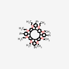 C=CCOc1cc(OC=C)c2cc1C(c1ccc(C(C)C)cc1)c1cc(c(OCC=C)cc1OCC=C)C(c1ccc(C(C)C)cc1)c1cc(c(OC=C)cc1OCC=C)C(c1ccc(C(C)C)cc1)c1cc(c(OC=C)cc1OC=C)C2c1ccc(C(C)C)cc1